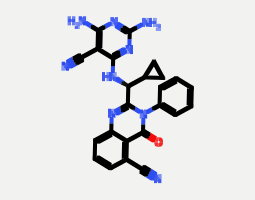 N#Cc1c(N)nc(N)nc1N[C@H](c1nc2cccc(C#N)c2c(=O)n1-c1ccccc1)C1CC1